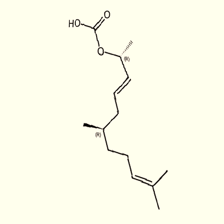 CC(C)=CCC[C@@H](C)CC=C[C@@H](C)OC(=O)O